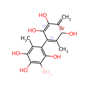 Bc1c(O)c(O)c(C)c(C(=C(\C)CO)/C(O)=C(/O)C(=C)Br)c1O